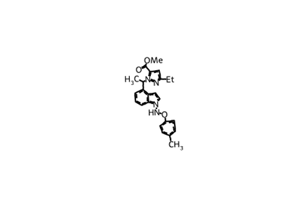 CCc1cc(C(=O)OC)n(C(C)c2cccc3c2ccn3NOc2ccc(C)cc2)n1